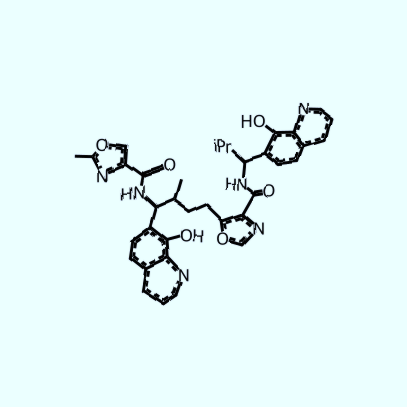 Cc1nc(C(=O)NC(c2ccc3cccnc3c2O)C(C)CCc2ocnc2C(=O)NC(c2ccc3cccnc3c2O)C(C)C)co1